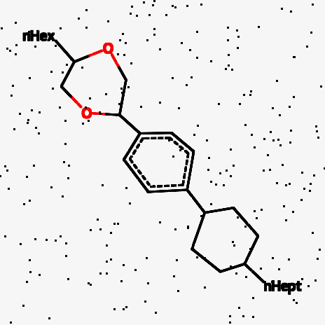 CCCCCCCC1CCC(c2ccc(C3COC(CCCCCC)CO3)cc2)CC1